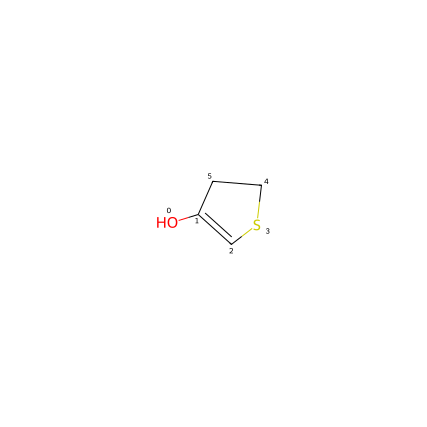 OC1=CSCC1